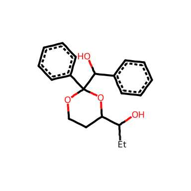 CCC(O)C1CCOC(c2ccccc2)(C(O)c2ccccc2)O1